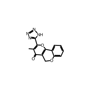 Cc1c(-c2nnn[nH]2)oc2c(c1=O)COc1ccccc1-2